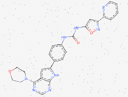 O=C(Nc1ccc(-c2cc3c(N4CCOCC4)ncnc3[nH]2)cc1)Nc1cc(-c2ccccn2)no1